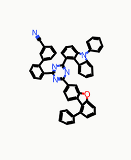 N#Cc1cccc(-c2ccccc2-c2nc(-c3ccc4c(c3)oc3cccc(-c5ccccc5)c34)nc(-c3cccc4c3c3ccccc3n4-c3ccccc3)n2)c1